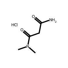 CN(C)C(=O)CC(N)=O.Cl